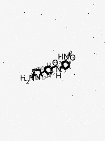 CC(=O)Nc1cccc(NC(=O)c2ccc(C3(C)CCSC(N)=N3)cc2)c1